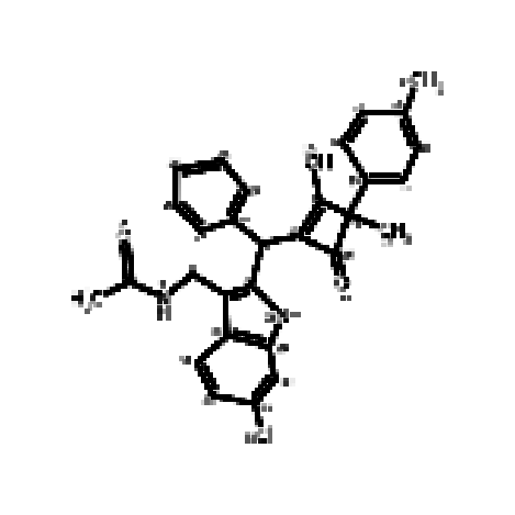 CC(=O)NCc1c(C(C2=C(O)C(C)(c3ccc(C)cc3)C2=O)c2ccccc2)[nH]c2cc(Cl)ccc12